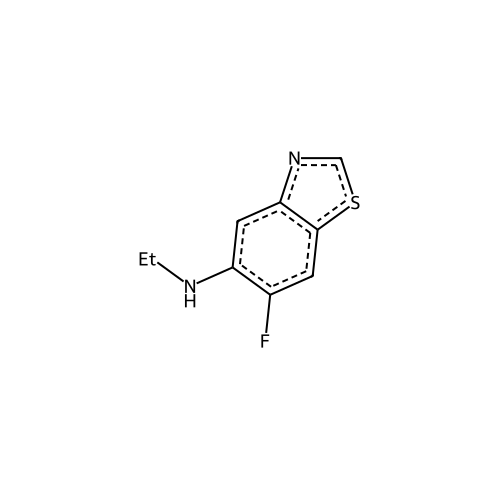 CCNc1cc2ncsc2cc1F